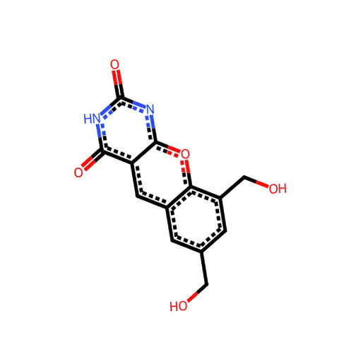 O=c1nc2oc3c(CO)cc(CO)cc3cc-2c(=O)[nH]1